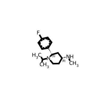 CN[C@@H]1CCN(C(C)C)[C@H](c2ccc(F)cc2)C1